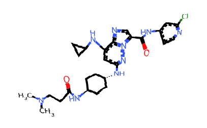 CN(C)CCC(=O)N[C@H]1CC[C@H](Nc2cc(NC3CC3)c3ncc(C(=O)Nc4ccnc(Cl)c4)n3n2)CC1